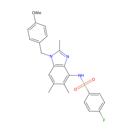 COc1ccc(Cn2c(C)nc3c(NS(=O)(=O)c4ccc(F)cc4)c(C)c(C)cc32)cc1